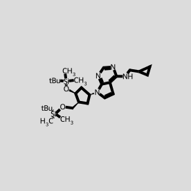 CC(C)(C)[Si](C)(C)OC[C@@H]1C[C@@H](n2ccc3c(NCC4CC4)ncnc32)C[C@@H]1O[Si](C)(C)C(C)(C)C